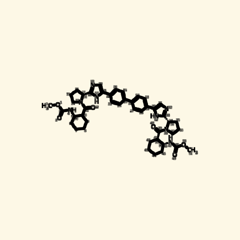 COC(=O)N[C@@H]1CCCCC1C(=O)N1CCC[C@H]1c1ncc(-c2ccc(-c3ccc(-c4cnc([C@@H]5CCCN5C(=O)[C@@H]5CCCC[C@H]5NC(=O)OC)[nH]4)cc3)cc2)[nH]1